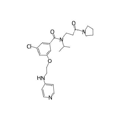 CC(C)N(CCC(=O)N1CCCC1)C(=O)c1cc(Cl)cc(OCCNc2ccncc2)c1